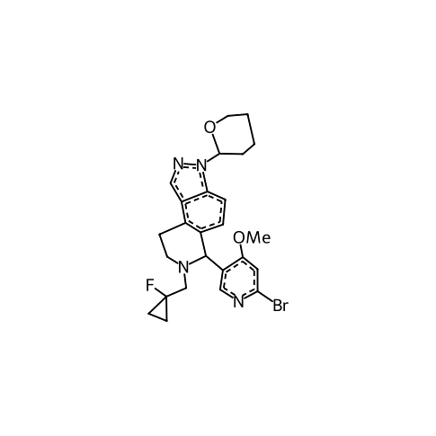 COc1cc(Br)ncc1C1c2ccc3c(cnn3C3CCCCO3)c2CCN1CC1(F)CC1